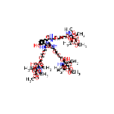 CC(=O)N/C(=C(\OC(C)=O)C(CCOC(C)=O)OC(C)=O)C(O)OCCOCCOCCNC(=O)C(Cc1ccc(O)cc1)N(CC(=O)NCCOCCOCCOC(O)/C(NC(C)=O)=C(\OC(C)=O)C(CCOC(C)=O)OC(C)=O)CC(=O)NCCOCCOCCOC(O)C(NC(C)=O)C(OC(C)=O)C(CCOC(C)=O)OC(C)=O